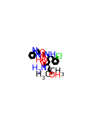 CC(C)(O)CC[C@H](C[C@H](O)[C@H](Cc1ccccc1Cl)NC(=O)Oc1cnc2ccccc2n1)C(N)=O